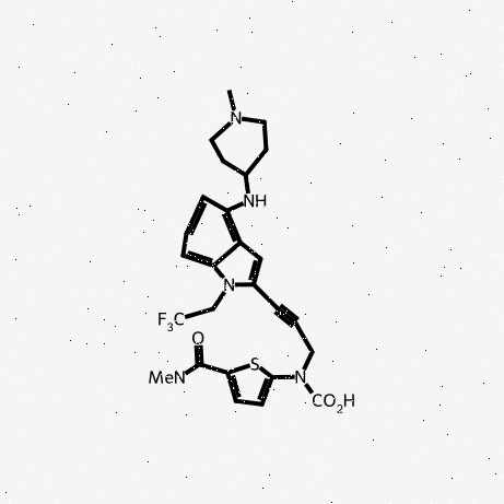 CNC(=O)c1ccc(N(CC#Cc2cc3c(NC4CCN(C)CC4)cccc3n2CC(F)(F)F)C(=O)O)s1